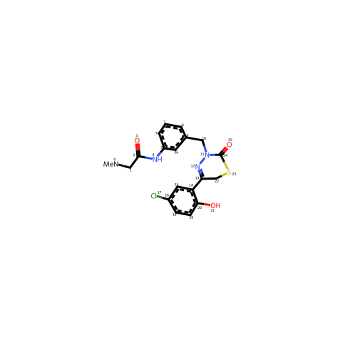 CNCC(=O)Nc1cccc(CN2N=C(c3cc(Cl)ccc3O)CSC2=O)c1